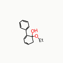 CCOC1(O)CC=CC=C1c1ccccc1